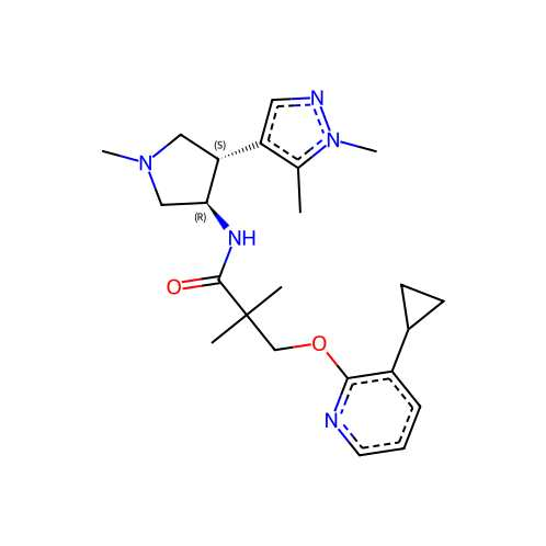 Cc1c([C@H]2CN(C)C[C@@H]2NC(=O)C(C)(C)COc2ncccc2C2CC2)cnn1C